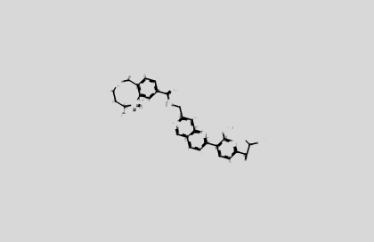 COc1nc([C@](C)(F)C(F)F)ccc1-c1ccc2cnc(CNC(=O)c3ccc4c(c3)S(=O)(=O)[C@@H](F)CCOC4)cc2n1